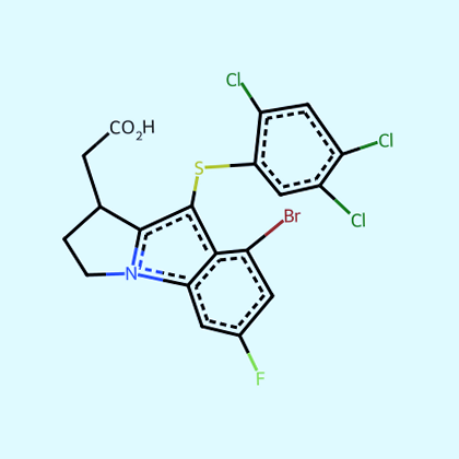 O=C(O)CC1CCn2c1c(Sc1cc(Cl)c(Cl)cc1Cl)c1c(Br)cc(F)cc12